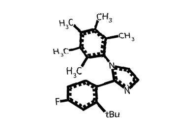 Cc1c(C)c(C)c(-n2ccnc2-c2ccc(F)cc2C(C)(C)C)c(C)c1C